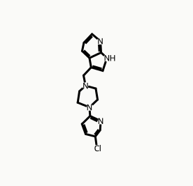 Clc1ccc(N2CCN(Cc3c[nH]c4ncccc34)CC2)nc1